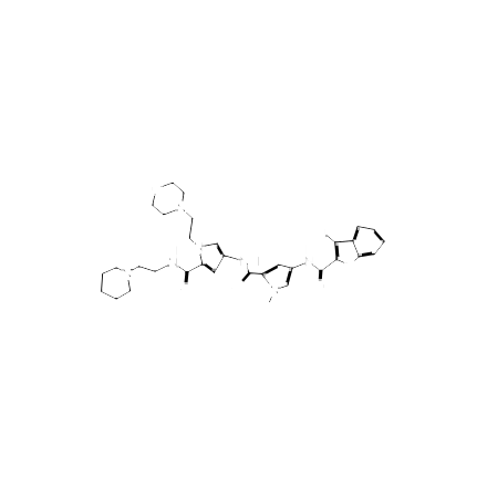 Cn1cc(NC(=O)c2sc3ccccc3c2Cl)cc1C(=O)Nc1cc(C(=O)NCCN2CCCCC2)n(CCN2CCOCC2)c1